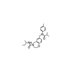 CCC(C)NC(=O)N1CCOc2ccc(CN(C(=O)C(C)C)c3ccc(C)cc3)cc2C1